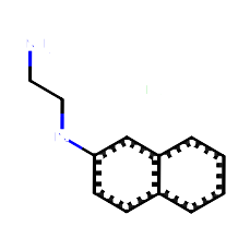 Cl.NCCNc1ccc2ccccc2c1